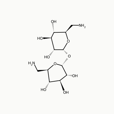 NC[C@H]1O[C@H](O[C@H]2O[C@H](CN)[C@@H](O)[C@H](O)[C@H]2O)[C@H](O)[C@@H](O)[C@@H]1O